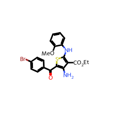 CCOC(=O)c1c(Nc2ccccc2OC)sc(C(=O)c2ccc(Br)cc2)c1N